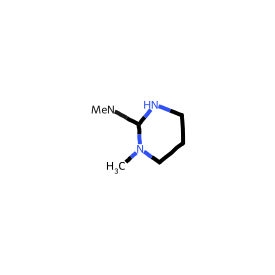 CNC1NCCCN1C